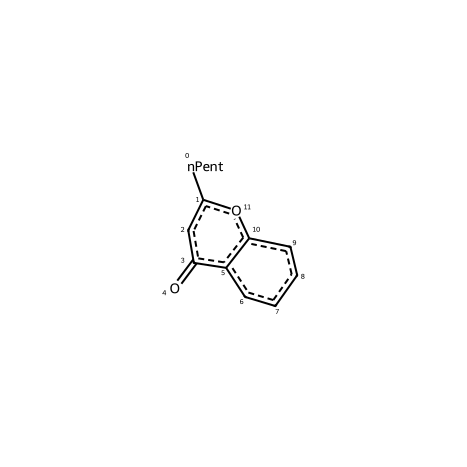 [CH2]CCCCc1cc(=O)c2ccccc2o1